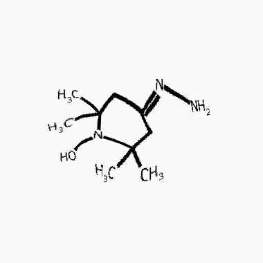 CC1(C)CC(=NN)CC(C)(C)N1O